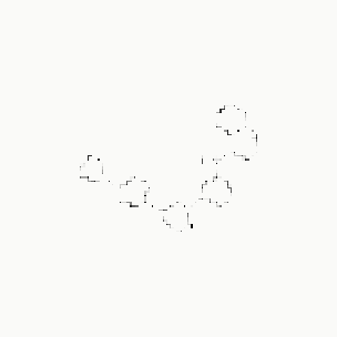 c1ccc(-c2ccc(-c3ccnc(-c4cccc(Nc5cccc6ccccc56)c4)c3)cc2)cc1